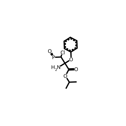 CC(C)OC(=O)C(N)(Oc1ccccc1)C(Cl)P=O